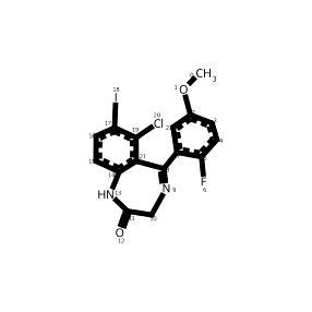 COc1ccc(F)c(C2=NCC(=O)Nc3ccc(I)c(Cl)c32)c1